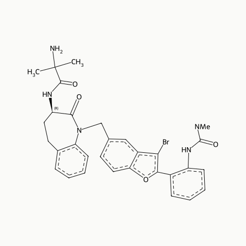 CNC(=O)Nc1ccccc1-c1oc2ccc(CN3C(=O)[C@H](NC(=O)C(C)(C)N)CCc4ccccc43)cc2c1Br